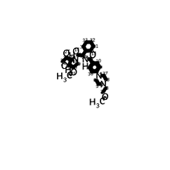 COCCN1CCN(c2ccc(C(=O)N[C@H](C(=O)N3C[C@H](OC)[C@H]4OCC(=O)[C@H]43)C3CCCCC3)cc2)CC1